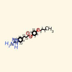 CCCCOc1ccc(OC(=O)CCc2ccc(NC(=N)N)cc2)cc1